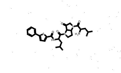 CC(C)CC(N)C(=O)N1CC(=O)C2C1CCN2C(=O)C(CC(C)C)NC(=O)c1ccc(-c2ccccc2)s1